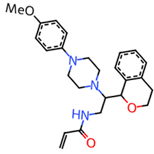 C=CC(=O)NCC(C1OCCc2ccccc21)N1CCN(c2ccc(OC)cc2)CC1